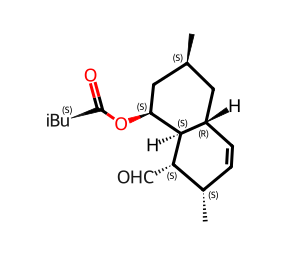 CC[C@H](C)C(=O)O[C@H]1C[C@@H](C)C[C@@H]2C=C[C@H](C)[C@H](C=O)[C@@H]12